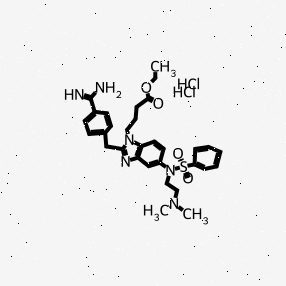 CCOC(=O)CCCn1c(Cc2ccc(C(=N)N)cc2)nc2cc(N(CCN(C)C)S(=O)(=O)c3ccccc3)ccc21.Cl.Cl